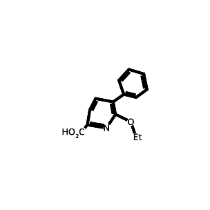 CCOc1nc(C(=O)O)ccc1-c1ccccc1